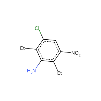 CCc1c(Cl)cc([N+](=O)[O-])c(CC)c1N